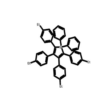 CCc1ccc(C2=C(c3ccc(CC)cc3)[Si](c3ccccc3)(c3ccccc3)C(c3ccc(CC)cc3)=C2c2ccc(CC)cc2)cc1